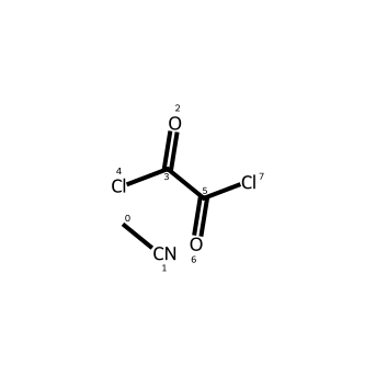 CC#N.O=C(Cl)C(=O)Cl